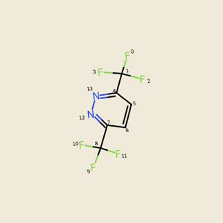 FC(F)(F)c1ccc(C(F)(F)F)nn1